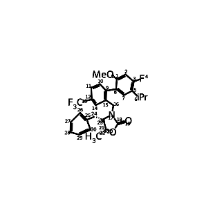 COc1cc(F)c(C(C)C)cc1-c1ccc(C(F)(F)F)cc1CN1C(=O)O[C@H](C)[C@@H]1Cc1ccccc1